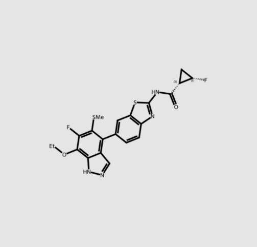 CCOc1c(F)c(SC)c(-c2ccc3nc(NC(=O)[C@@H]4C[C@@H]4F)sc3c2)c2cn[nH]c12